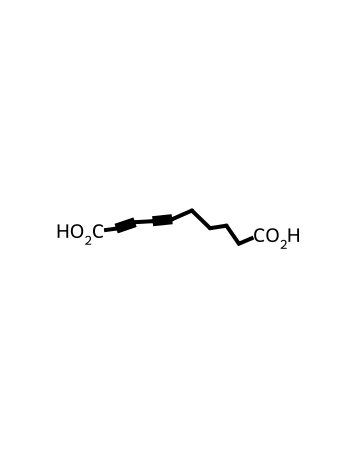 O=C(O)C#CC#CCCCCC(=O)O